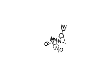 CC(=O)N1CCC(NC2COC2)=C(C(=N)N2CC(C)Cc3cc(-c4cnn(C)c4)ccc32)C1